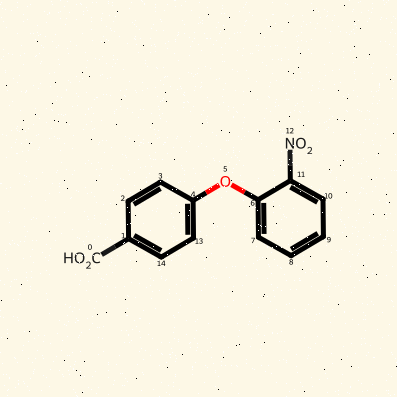 O=C(O)c1ccc(Oc2ccccc2[N+](=O)[O-])cc1